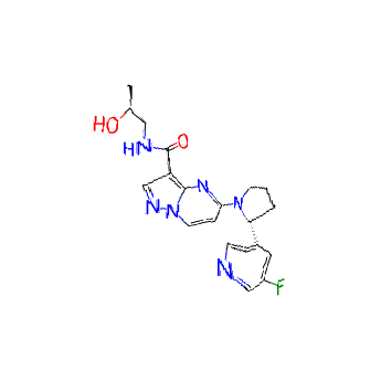 C[C@H](O)CNC(=O)c1cnn2ccc(N3CCC[C@@H]3c3cncc(F)c3)nc12